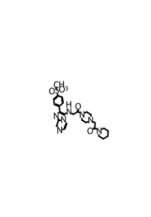 CS(=O)(=O)c1ccc(-c2nc3cnccn3c2NCC(=O)N2CCN(CC(=O)N3CCCCC3)CC2)cc1